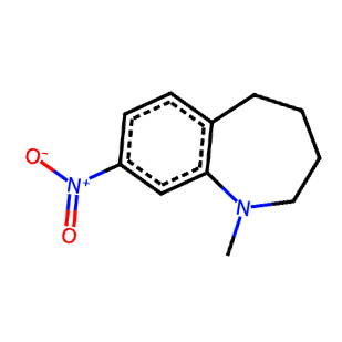 CN1CCCCc2ccc([N+](=O)[O-])cc21